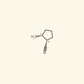 N#C[C@@H]1CCC[C@@H]1N